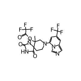 CC1(C)CN(c2cc(C(F)(F)F)cc3cncn23)CCC12C(=O)NC(=O)N2OC(=O)C(F)(F)F